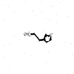 O=[C]CCc1ccsc1